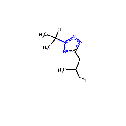 CC(C)Cc1nnn(C(C)(C)C)n1